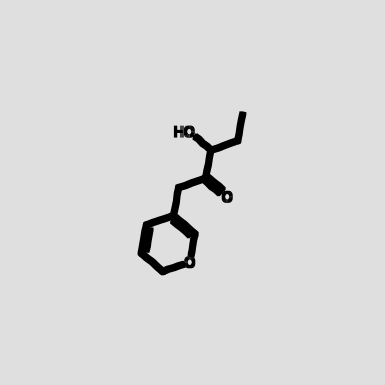 CCC(O)C(=O)CC1=COCC=C1